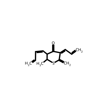 C=C/C=C\C1C(=O)/C(=C/C=C)C(=C)SC1C